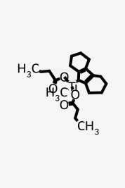 CCCC(=O)[O][Ti]([CH3])([O]C(=O)CCC)[CH]1C2=C(CCCC2)C2=C1CCCC2